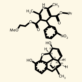 CN1CC[C@]23c4c5ccc(O)c4O[C@H]2[C@@H](O)C=C[C@H]3[C@H]1C5.COCCOC(=O)C1=C(C)NC(C)=C(C(=O)OC(C)C)C1c1cccc([N+](=O)[O-])c1